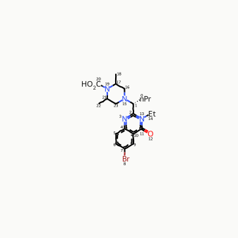 CCC[C@H](c1nc2ccc(Br)cc2c(=O)n1CC)N1CC(C)N(C(=O)O)C(C)C1